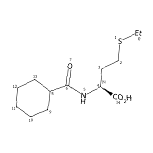 CCSCC[C@H](NC(=O)C1CCCCC1)C(=O)O